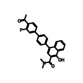 CC(=O)c1ccc(-c2ccc(-c3cc(C(=O)N(C)C)c(O)c4ccccc34)cc2)cc1F